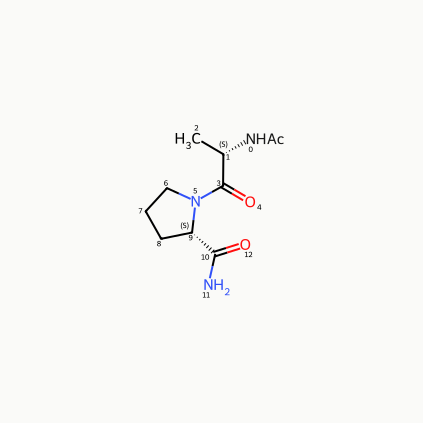 CC(=O)N[C@@H](C)C(=O)N1CCC[C@H]1C(N)=O